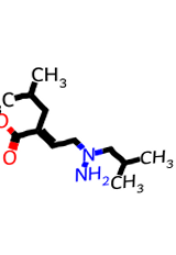 CC(C)C/C(=C\CN(N)CC(C)C)C(=O)O